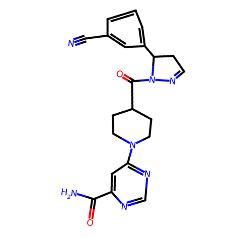 N#Cc1cccc(C2CC=NN2C(=O)C2CCN(c3cc(C(N)=O)ncn3)CC2)c1